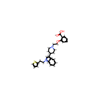 O=C(O)c1ccccc1OCCN1CCC(c2cn(CCc3cccs3)c3ccccc23)CC1